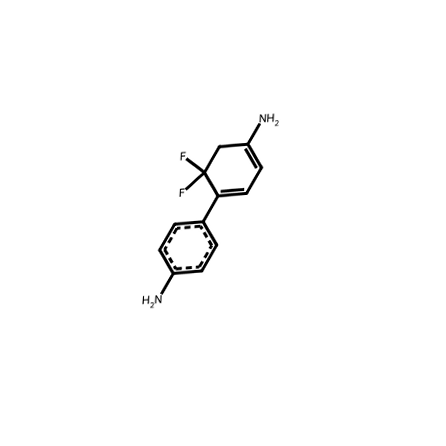 NC1=CC=C(c2ccc(N)cc2)C(F)(F)C1